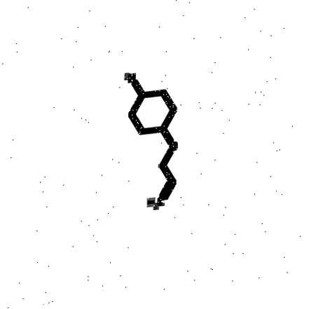 [2H]C1CCC(O[CH]C=C)CC1